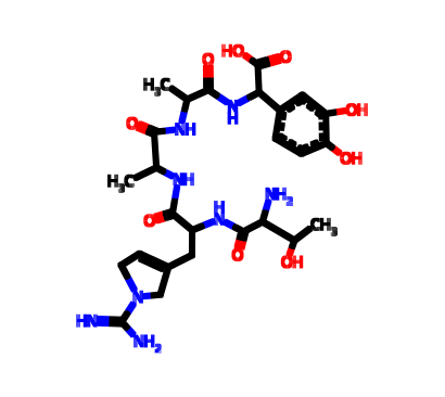 CC(NC(=O)C(C)NC(=O)C(CC1=CCN(C(=N)N)C1)NC(=O)C(N)C(C)O)C(=O)NC(C(=O)O)c1ccc(O)c(O)c1